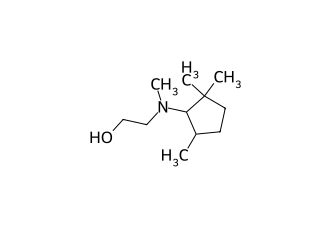 CC1CCC(C)(C)C1N(C)CCO